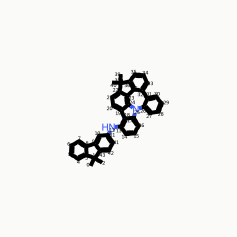 CC1(C)c2ccccc2-c2cc(Nc3cccc4c3c3ccc5c6c3n4-c3ccccc3-c3cccc(c3-6)C5(C)C)ccc21